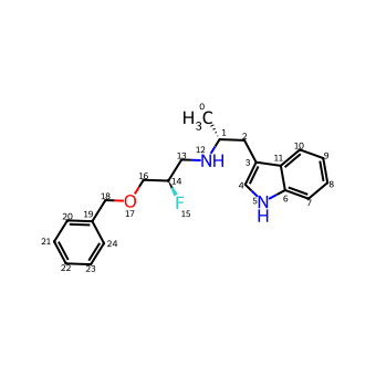 C[C@H](Cc1c[nH]c2ccccc12)NC[C@@H](F)COCc1ccccc1